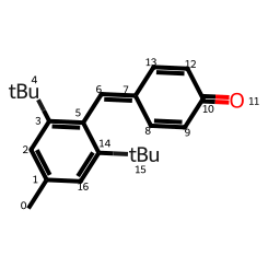 Cc1cc(C(C)(C)C)c(C=C2C=CC(=O)C=C2)c(C(C)(C)C)c1